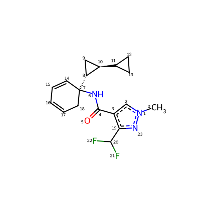 Cn1cc(C(=O)NC2([C@@H]3C[C@H]3C3CC3)C=CC=CC2)c(C(F)F)n1